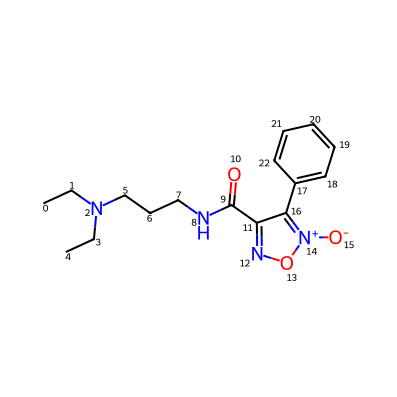 CCN(CC)CCCNC(=O)c1no[n+]([O-])c1-c1ccccc1